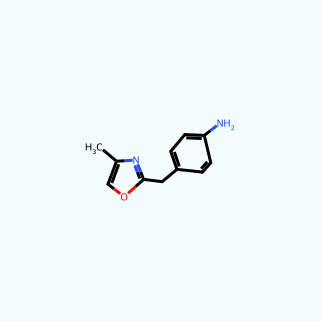 Cc1coc(Cc2ccc(N)cc2)n1